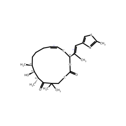 C/C(=C\c1csc(C)n1)[C@@H]1C/C=C\CCC[C@H](C)[C@H](O)[C@@H](C)C(=O)C(C)(C)CCC(=O)O1